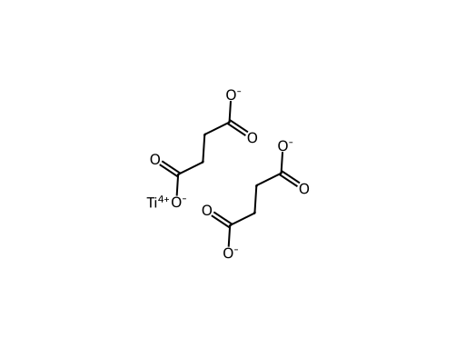 O=C([O-])CCC(=O)[O-].O=C([O-])CCC(=O)[O-].[Ti+4]